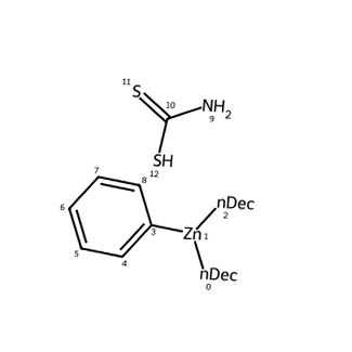 CCCCCCCCC[CH2][Zn]([CH2]CCCCCCCCC)[c]1ccccc1.NC(=S)S